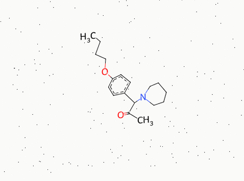 CCCCOc1ccc(C(C(C)=O)N2CCCCC2)cc1